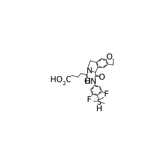 C[SH](C)(C)(C)c1c(F)cc(NC(=O)C2c3cc4c(cc3CCN2C(=O)CCCC(=O)O)OCC4)cc1F